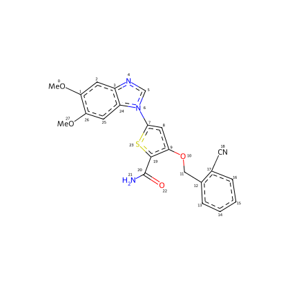 COc1cc2ncn(-c3cc(OCc4ccccc4C#N)c(C(N)=O)s3)c2cc1OC